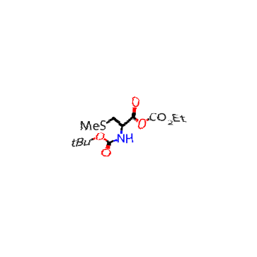 CCOC(=O)OC(=O)C(CSC)NC(=O)OC(C)(C)C